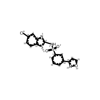 O=S(=O)(Nc1nc2cc(Cl)ccc2s1)c1cccc(-c2ccon2)c1